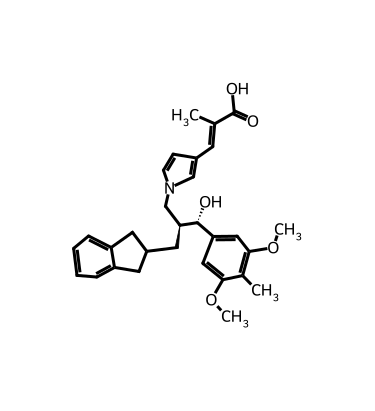 COc1cc([C@@H](O)[C@@H](CC2Cc3ccccc3C2)Cn2ccc(/C=C(\C)C(=O)O)c2)cc(OC)c1C